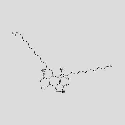 CCCCCCCCCCC(O)CN(CC(O)CCCCCCCCCC)C(C(=O)O)C(C)c1c[nH]c2ccccc12